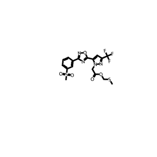 CSCOC(=O)Cn1nc(C(F)(F)F)cc1-c1nc(-c2cccc(S(C)(=O)=O)c2)no1